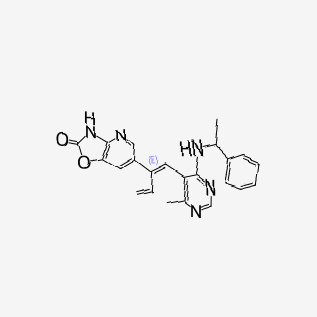 C=C/C(=C\c1c(C)ncnc1NC(C)c1ccccc1)c1cnc2[nH]c(=O)oc2c1